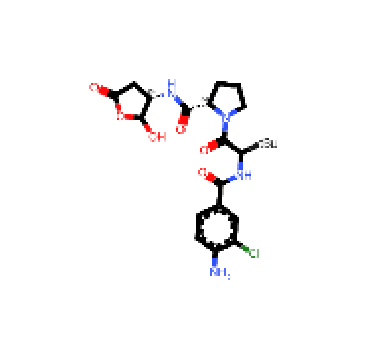 CC(C)(C)C(NC(=O)c1ccc(N)c(Cl)c1)C(=O)N1CCC[C@H]1C(=O)N[C@H]1CC(=O)OC1O